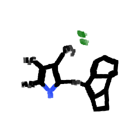 Cc1[nH][c]([Zr+2][C]2=C3CCC3c3ccccc32)c(C)c1C.[Cl-].[Cl-]